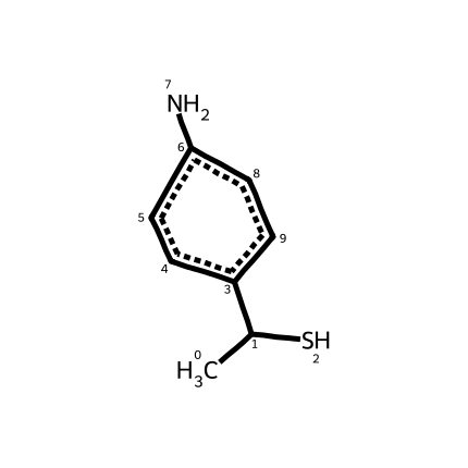 CC(S)c1ccc(N)cc1